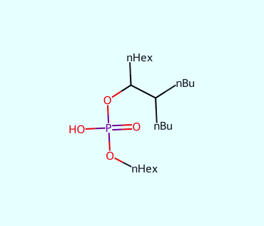 CCCCCCOP(=O)(O)OC(CCCCCC)C(CCCC)CCCC